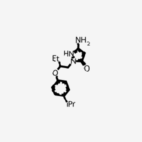 CCC(Cn1[nH]c(N)cc1=O)Oc1ccc(C(C)C)cc1